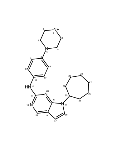 c1cc(N2CCNCC2)ccc1Nc1ncc2ccn(C3CCCCCC3)c2n1